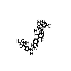 CNC(=O)C1CCC(Nc2ncc3cc(-c4c(F)cnc(NS(=O)(=O)c5cc(Cl)cnc5OC)c4F)ccc3n2)C1